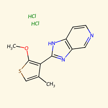 COc1scc(C)c1-c1nc2cnccc2[nH]1.Cl.Cl